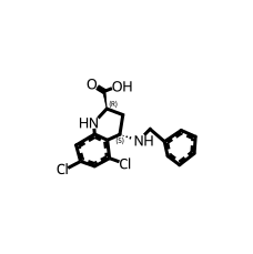 O=C(O)[C@H]1C[C@H](NCc2ccccc2)c2c(Cl)cc(Cl)cc2N1